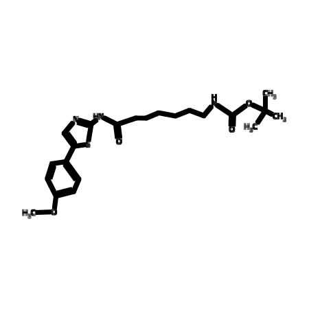 COc1ccc(-c2cnc(NC(=O)CCCCCCNC(=O)OC(C)(C)C)s2)cc1